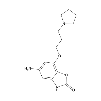 Nc1cc(OCCCN2CCCC2)c2oc(=O)[nH]c2c1